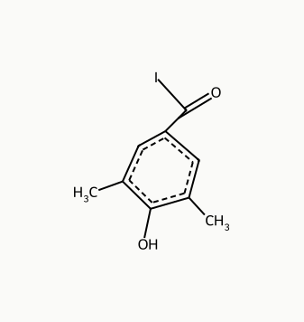 Cc1cc(C(=O)I)cc(C)c1O